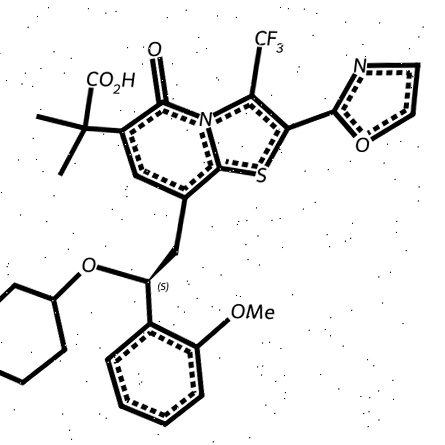 COc1ccccc1[C@H](Cc1cc(C(C)(C)C(=O)O)c(=O)n2c(C(F)(F)F)c(-c3ncco3)sc12)OC1CCOCC1